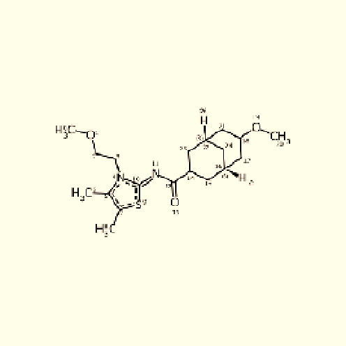 COCCn1c(C)c(C)sc1=NC(=O)C1C[C@H]2CC(OC)C[C@@H](C1)C2